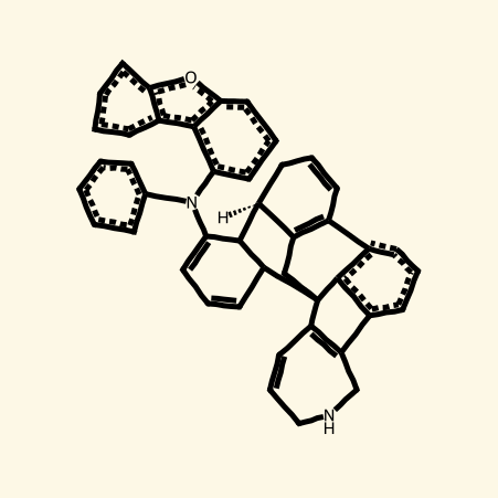 C1=CC2C(C(N(c3ccccc3)c3cccc4oc5ccccc5c34)=C1)[C@H]1CC=CC3=C1CC21C2=C(CNCC=C2)c2cccc3c21